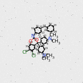 CN(C)c1ccc(C2(c3ccc(N(C)C)cc3)OC(=Nc3ccc(Cc4ccccc4)cc3)Oc3cc(Cl)c(Cl)cc32)cc1